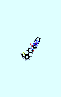 O=C(CN1CC2CCC(C1)N2c1ncc(F)cn1)N1CC=C(c2cccc3ccsc23)CC1